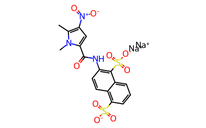 Cc1c([N+](=O)[O-])cc(C(=O)Nc2ccc3c(S(=O)(=O)[O-])cccc3c2S(=O)(=O)[O-])n1C.[Na+].[Na+]